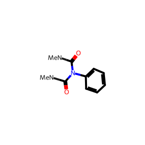 CNC(=O)N(C(=O)NC)c1ccccc1